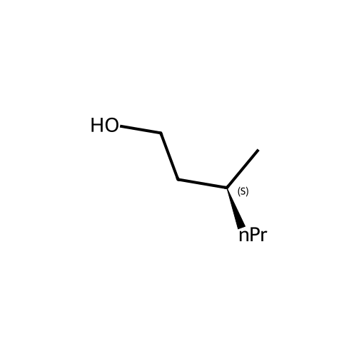 CCC[C@H](C)CCO